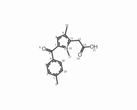 Cc1ccc(C(=O)c2cc(C)c(CC(=O)O)n2C)cc1